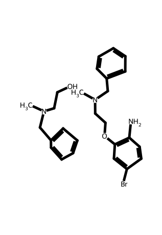 CN(CCO)Cc1ccccc1.CN(CCOc1cc(Br)ccc1N)Cc1ccccc1